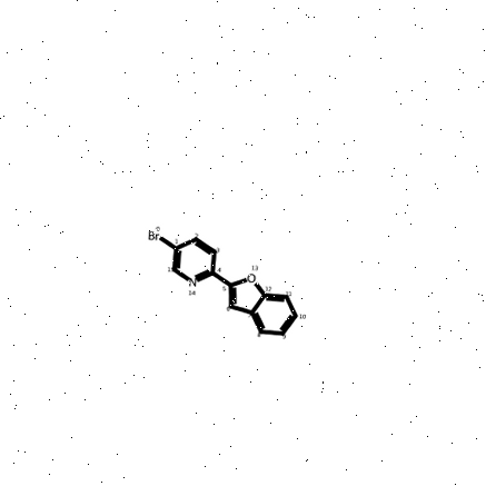 Brc1ccc(-c2cc3ccccc3o2)nc1